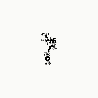 CCC1(CC)C(=O)N(C(CCCCNS(=O)(=O)c2ccc([N+](=O)[O-])cc2)C(=O)O)C(=O)N([C@@H](CCC(=O)O)C(=O)O)C1=O